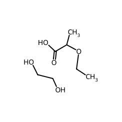 CCOC(C)C(=O)O.OCCO